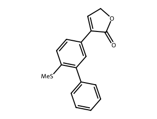 CSc1ccc(C2=CCOC2=O)cc1-c1ccccc1